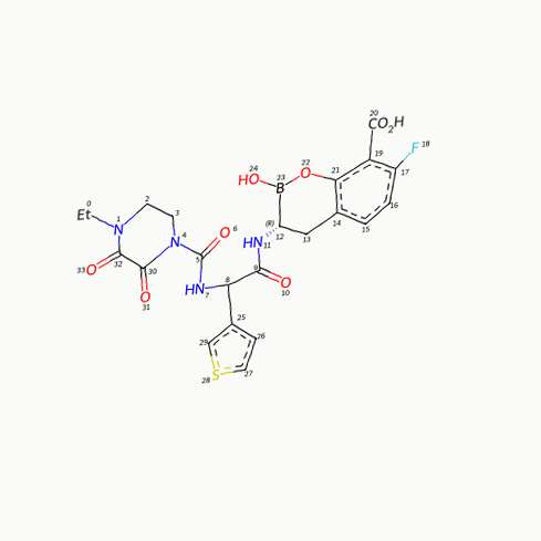 CCN1CCN(C(=O)NC(C(=O)N[C@H]2Cc3ccc(F)c(C(=O)O)c3OB2O)c2ccsc2)C(=O)C1=O